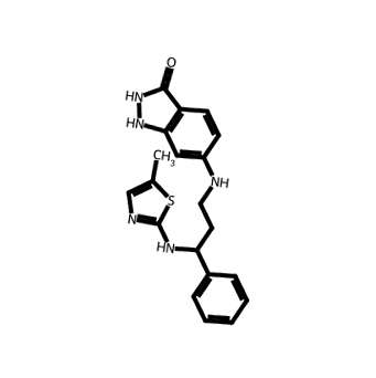 Cc1cnc(NC(CCNc2ccc3c(=O)[nH][nH]c3c2)c2ccccc2)s1